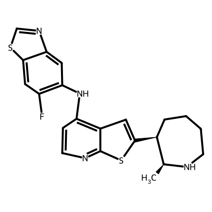 C[C@@H]1NCCCC[C@@H]1c1cc2c(Nc3cc4ncsc4cc3F)ccnc2s1